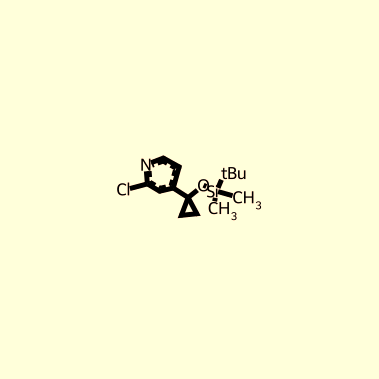 CC(C)(C)[Si](C)(C)OC1(c2ccnc(Cl)c2)CC1